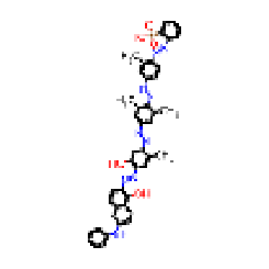 Cc1cc(N=Nc2ccc3cc(Nc4ccccc4)ccc3c2O)c(O)cc1N=Nc1cc(C)c(N=Nc2ccc(N=Nc3ccccc3S(=O)(=O)O)c(C)c2)c(C)c1